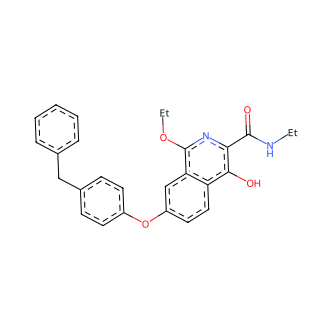 CCNC(=O)c1nc(OCC)c2cc(Oc3ccc(Cc4ccccc4)cc3)ccc2c1O